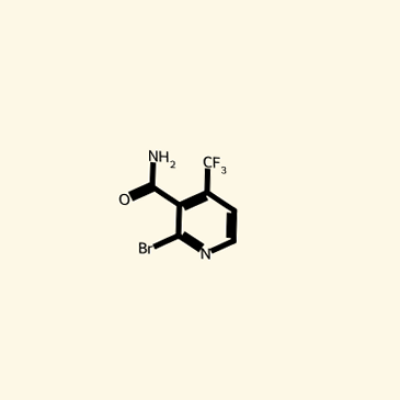 NC(=O)c1c(C(F)(F)F)ccnc1Br